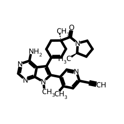 C#Cc1cc(C)c(-c2c(C3=CC[C@](C)(C(=O)N4CCC[C@H]4C)CC3)c3c(N)ncnc3n2C)cn1